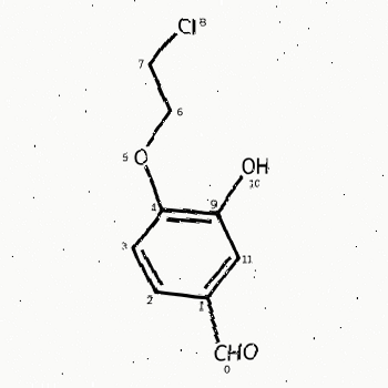 O=Cc1ccc(OCCCl)c(O)c1